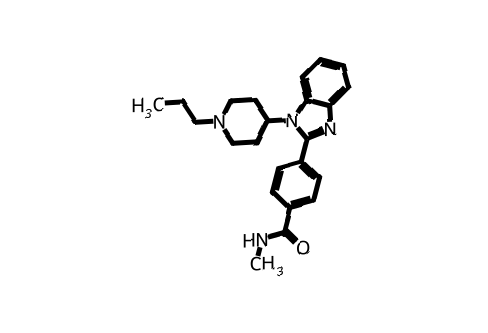 CCCN1CCC(n2c(-c3ccc(C(=O)NC)cc3)nc3ccccc32)CC1